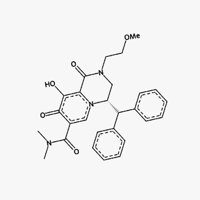 COCCN1C[C@H](C(c2ccccc2)c2ccccc2)n2cc(C(=O)N(C)C)c(=O)c(O)c2C1=O